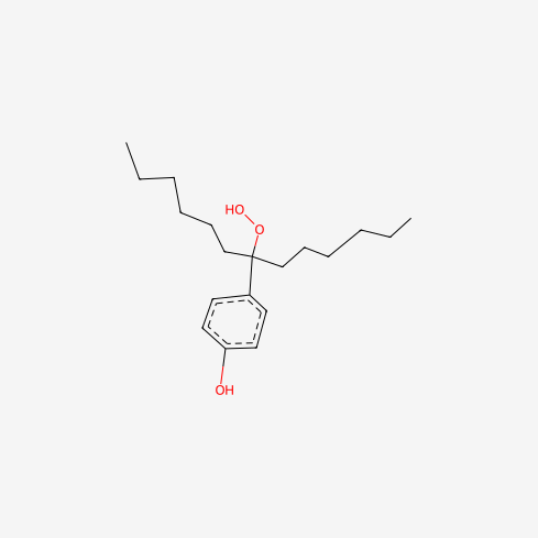 CCCCCCC(CCCCCC)(OO)c1ccc(O)cc1